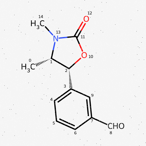 C[C@H]1[C@@H](c2cccc(C=O)c2)OC(=O)N1C